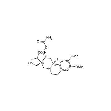 COc1cc2c(cc1OC)[C@H]1C[C@@H](COC(N)=O)[C@@](CC(C)C)(C(C)C(=O)O)CN1CC2